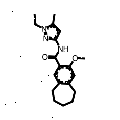 CCn1nc(NC(=O)c2cc3c(cc2OC)CCCCC3)cc1C